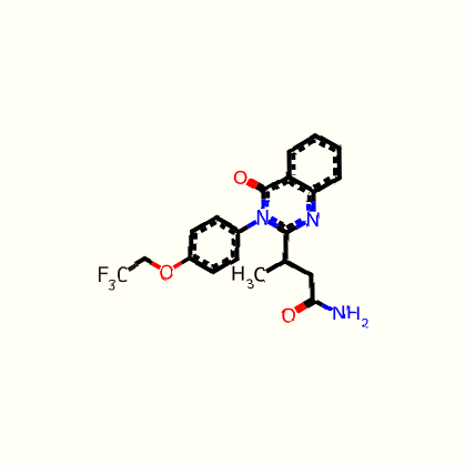 CC(CC(N)=O)c1nc2ccccc2c(=O)n1-c1ccc(OCC(F)(F)F)cc1